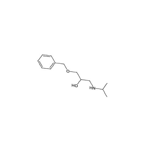 CC(C)NCC(O)COCc1ccccc1